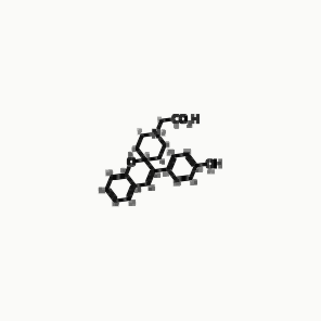 O=C(O)CN1CCC2(CC1)Oc1ccccc1C=C2c1ccc(O)cc1